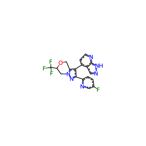 Fc1ccc(-c2nn3c(c2-c2ccnc4[nH]ncc24)COC(C(F)(F)F)C3)nc1